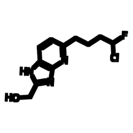 OCc1nc2nc(CCCC(F)Cl)ccc2[nH]1